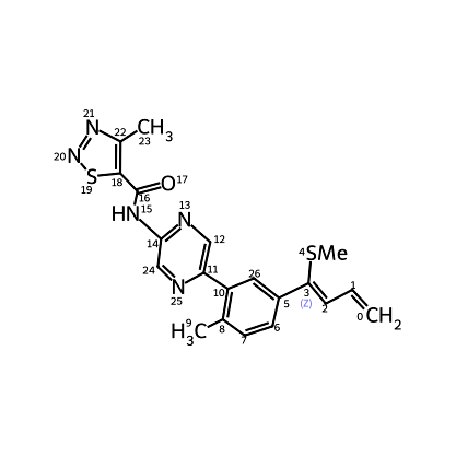 C=C/C=C(\SC)c1ccc(C)c(-c2cnc(NC(=O)c3snnc3C)cn2)c1